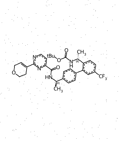 C[C@@H](NC(=O)c1ccnc(C2=CCOCC2)n1)c1ccc(-c2cc(C(F)(F)F)ccc2[C@@H](C)NC(=O)OC(C)(C)C)cc1